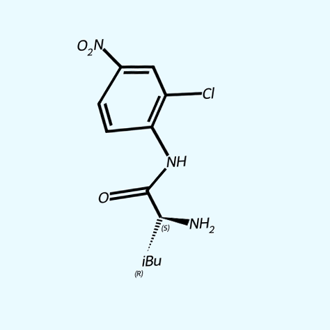 CC[C@@H](C)[C@H](N)C(=O)Nc1ccc([N+](=O)[O-])cc1Cl